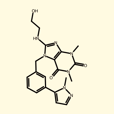 Cn1nccc1-c1cccc(Cn2c(NCCO)nc3c2c(=O)n(C)c(=O)n3C)c1